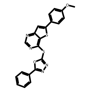 COc1ccc(-c2cc3ncnc(Sc4nnc(-c5ccccc5)o4)c3s2)cc1